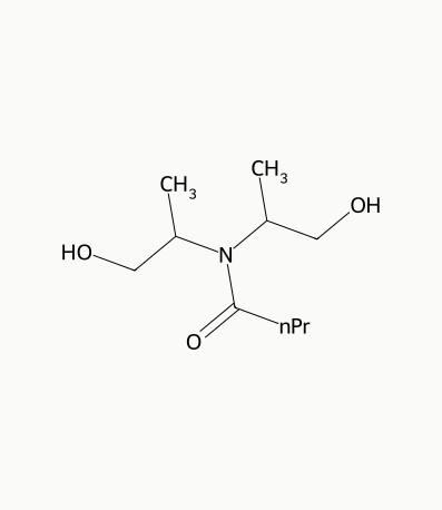 CCCC(=O)N(C(C)CO)C(C)CO